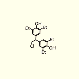 CCc1cc(C(CCl)c2cc(CC)c(O)c(CC)c2)cc(CC)c1O